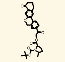 CC1CCC(C(=O)OCC(=O)c2ccc3c(c2)COc2cc4c(cc2-3)CCCC4=O)N1C(=O)OC(C)(C)C